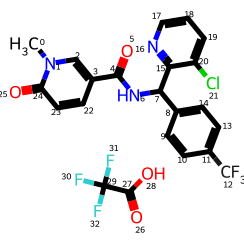 Cn1cc(C(=O)NC(c2ccc(C(F)(F)F)cc2)c2ncccc2Cl)ccc1=O.O=C(O)C(F)(F)F